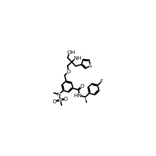 C[C@@H](NC(=O)c1cc(COCC(N)(CO)Cc2ccsc2)cc(N(C)S(C)(=O)=O)c1)c1ccc(F)cc1